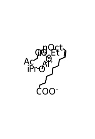 CC(C)[O][Al+][O]C(C)C.CCCCCCCC/C=C\CCCCCCCC(=O)[O-].CCOC(=O)CC(C)=O